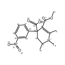 COC(=O)C1=C(C)N(I)C(C)CC1(C(=O)O)c1cccc([N+](=O)[O-])c1